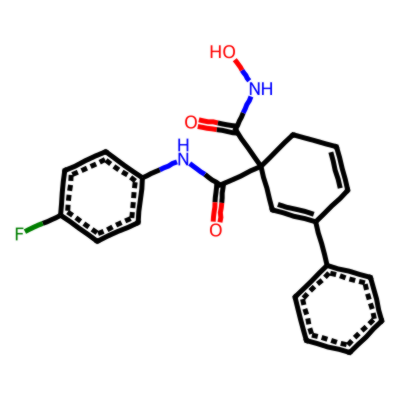 O=C(NO)C1(C(=O)Nc2ccc(F)cc2)C=C(c2ccccc2)C=CC1